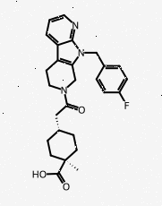 C[C@]1(C(=O)O)CC[C@H](CC(=O)N2CCc3c(n(Cc4ccc(F)cc4)c4ncccc34)C2)CC1